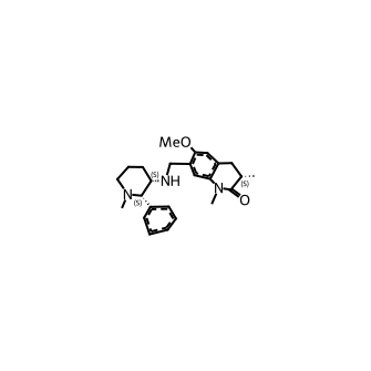 COc1cc2c(cc1CN[C@H]1CCCN(C)[C@H]1c1ccccc1)N(C)C(=O)[C@@H](C)C2